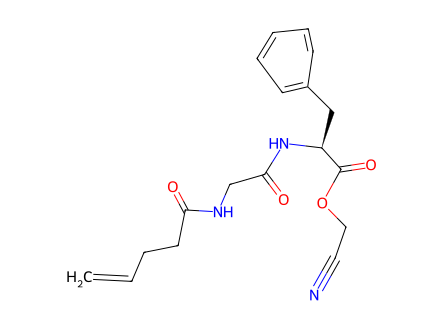 C=CCCC(=O)NCC(=O)N[C@@H](Cc1ccccc1)C(=O)OCC#N